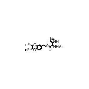 CCCC1Oc2ccc(CCNC(=O)C(NC(C)=O)c3cnc[nH]3)cc2OC1CCC